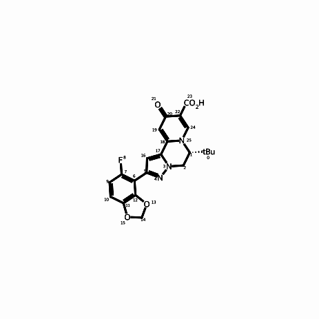 CC(C)(C)[C@@H]1Cn2nc(-c3c(F)ccc4c3OCO4)cc2-c2cc(=O)c(C(=O)O)cn21